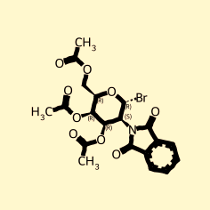 CC(=O)OC[C@H]1O[C@H](Br)[C@@H](N2C(=O)c3ccccc3C2=O)[C@@H](OC(C)=O)[C@H]1OC(C)=O